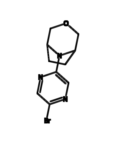 Brc1cnc(N2C3CCC2COC3)cn1